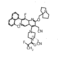 C=C(F)C(=O)N1CCN(C2=C(CC#N)C(OCC34CCCN3CCC4)=NC3C(F)=C(c4cccc5cccc(Cl)c45)N=CC23)C[C@@H]1CC#N